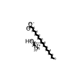 CCCCCCCCC=CCCCCCCCC(=O)[O-].C[N+](C)(C)CCO